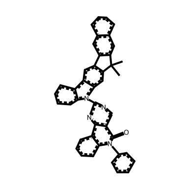 CC1(C)c2cc3ccccc3cc2-c2cc3c4ccccc4n(-c4ncc5c(=O)n(-c6ccccc6)c6ccccc6c5n4)c3cc21